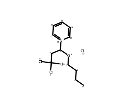 CCCCOC(CC(Cl)(Cl)Cl)[n+]1ccccc1.[Cl-]